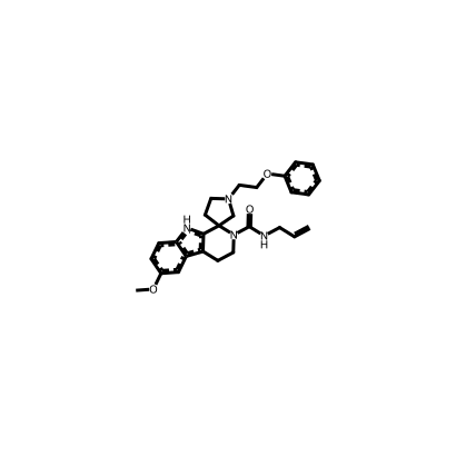 C=CCNC(=O)N1CCc2c([nH]c3ccc(OC)cc23)C12CCN(CCOc1ccccc1)C2